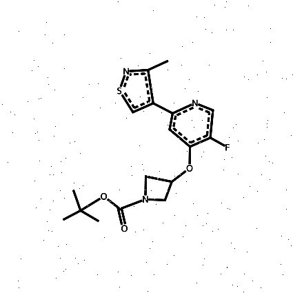 Cc1nscc1-c1cc(OC2CN(C(=O)OC(C)(C)C)C2)c(F)cn1